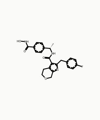 C[C@H](NC(=O)c1c(Cc2ccc(F)cc2)sc2c1CCOC2)c1ccc(C(=O)NO)cc1